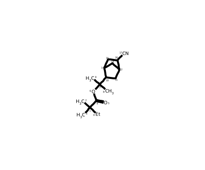 CCC(C)(C)C(=O)OC(C)(C)C1CC2CC1CC2C#N